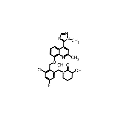 Cc1cc(-c2ncnn2C)c2cccc(OCc3c(Cl)cc(F)cc3[C@H](C)N3CCCC(O)C3=O)c2n1